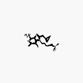 Cc1nc(N)c2nc(CC3CC3)n(CCCC[S+](C)[O-])c2c1C